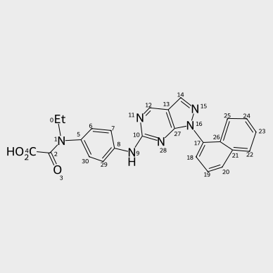 CCN(C(=O)C(=O)O)c1ccc(Nc2ncc3cnn(-c4cccc5ccccc45)c3n2)cc1